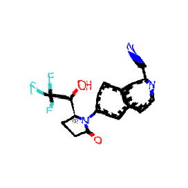 N#Cc1nccc2cc(N3C(=O)CC[C@H]3C(O)C(F)(F)F)ccc12